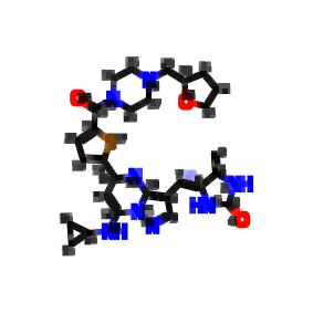 C=c1[nH]c(=O)[nH]/c1=C\c1cnn2c(NC3CC3)cc(-c3ccc(C(=O)N4CCN(CC5CCCO5)CC4)s3)nc12